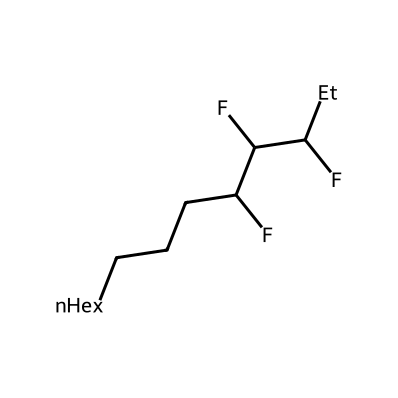 CCCCCCCCCC(F)C(F)C(F)CC